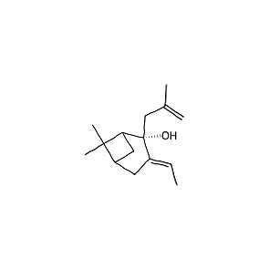 C=C(C)C[C@@]1(O)/C(=C/C)CC2CC1C2(C)C